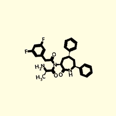 C[C@H](N)C(=O)N(C(=O)Cc1cc(F)cc(F)c1)[C@H]1C[C@H](c2ccccc2)C[C@@H](c2ccccc2)NC1=O